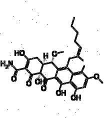 CCCC/C=C(/C)Cc1c2c(c(O)c3c(O)cc(OC)c(C)c13)C(=O)[C@@]1(O)C(=O)C(C(N)=O)=C(O)C[C@H]1[C@@H]2OC